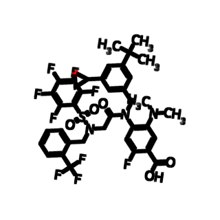 CN(C)c1cc(C(=O)O)c(F)cc1N(Cc1cc(C2CC2)cc(C(C)(C)C)c1)C(=O)CN(Cc1ccccc1C(F)(F)F)S(=O)(=O)c1c(F)c(F)c(F)c(F)c1F